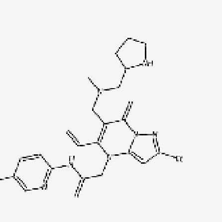 C=CC1=C(CN(C)CC2CCCN2)C(=C)n2nc(CC)cc2N1CC(=C)Nc1ccc(F)cn1